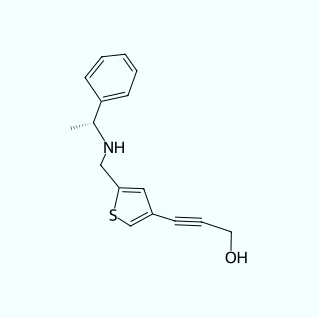 C[C@@H](NCc1cc(C#CCO)cs1)c1ccccc1